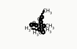 CCCCc1cc2c3c(c1)C1(C)CCCCC1(C)N3c1cc(C)cc3c1B2N(c1ccc2c(c1)oc1ccccc12)c1cc2oc4cc(CCCC)ccc4c2cc1-3